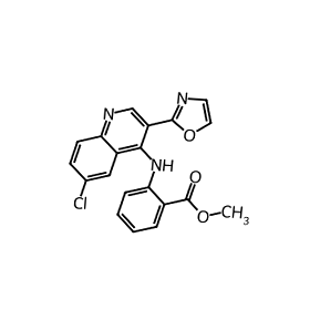 COC(=O)c1ccccc1Nc1c(-c2ncco2)cnc2ccc(Cl)cc12